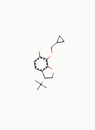 CC(C)(C)[C@@H]1COc2c1ccc(Cl)c2OCC1CC1